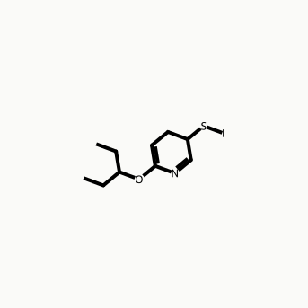 CCC(CC)OC1=CCC(SI)C=N1